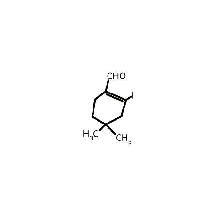 CC1(C)CCC(C=O)=C(I)C1